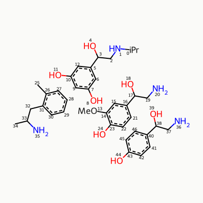 CC(C)NCC(O)c1cc(O)cc(O)c1.COc1cc(C(O)CN)ccc1O.Cc1ccccc1CC(C)N.NCC(O)c1ccc(O)cc1